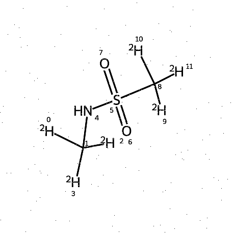 [2H]C([2H])([2H])NS(=O)(=O)C([2H])([2H])[2H]